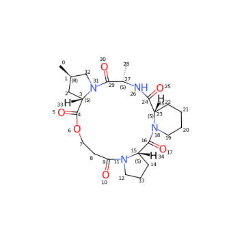 C[C@@H]1C[C@H]2C(=O)OCCC(=O)N3CCC[C@H]3C(=O)N3CCCC[C@H]3C(=O)N[C@@H](C)C(=O)N2C1